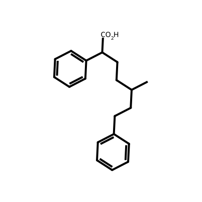 CC(CCc1ccccc1)CCC(C(=O)O)c1ccccc1